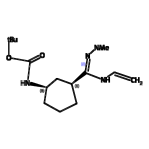 C=CN/C(=N\NC)[C@H]1CCC[C@@H](NC(=O)OC(C)(C)C)C1